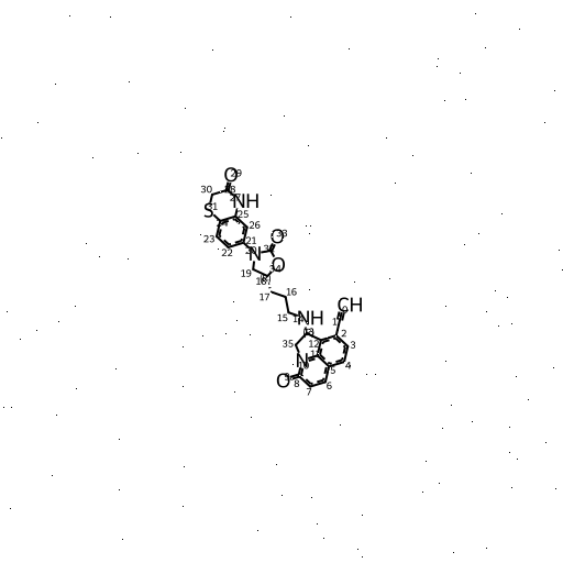 C#Cc1ccc2ccc(=O)n3c2c1[C@@H](NCCC[C@@H]1CN(c2ccc4c(c2)NC(=O)CS4)C(=O)O1)C3